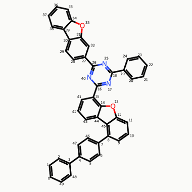 c1ccc(-c2ccc(-c3cccc4oc5c(-c6nc(-c7ccccc7)nc(-c7ccc8c(c7)oc7ccccc78)n6)cccc5c34)cc2)cc1